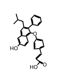 CC(C)Cc1cc2cc(O)ccc2c(Oc2ccc(C=CC(=O)O)cc2)c1-c1ccccc1